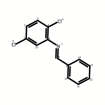 Clc1ccc(Cl)c(N=Cc2ccccc2)c1